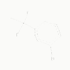 CC(F)(F)c1cccc(Br)c1